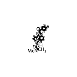 CNC(C)C(=O)NCC(=O)[N+]1(C2CCCCC2)CCCC1c1nc(C(=O)c2ccc(F)cc2)cs1